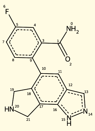 NC(=O)c1cc(F)ccc1-c1cc2cn[nH]c2c2c1CNC2